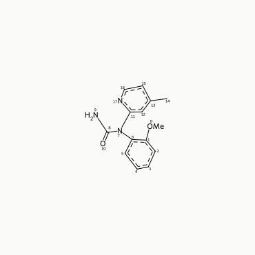 COc1ccccc1N(C(N)=O)c1cc(C)ccn1